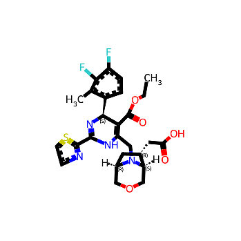 CCOC(=O)C1=C(CN2[C@H]3COC[C@@H]2[C@@H](CC(=O)O)C3)NC(c2nccs2)=N[C@H]1c1ccc(F)c(F)c1C